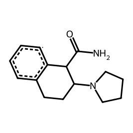 NC(=O)C1c2[c]cccc2CCC1N1CCCC1